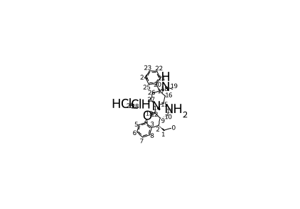 CC[C@@H](c1ccccc1)[C@@H](CN)C(=O)N1CCC(NC)(c2ccccc2)CC1.Cl.Cl